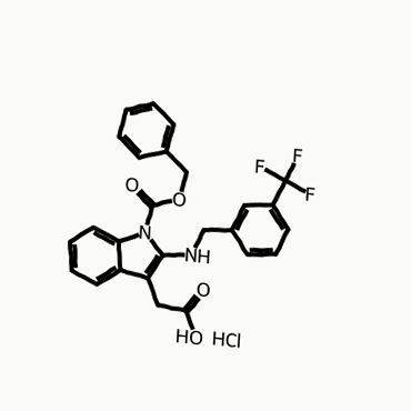 Cl.O=C(O)Cc1c(NCc2cccc(C(F)(F)F)c2)n(C(=O)OCc2ccccc2)c2ccccc12